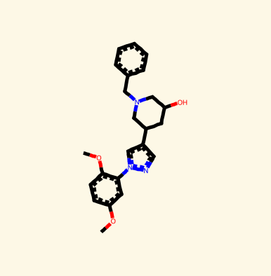 COc1ccc(OC)c(-n2cc(C3CC(O)CN(Cc4ccccc4)C3)cn2)c1